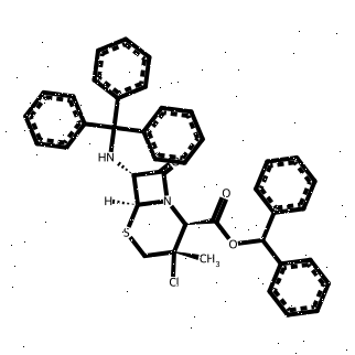 C[C@@]1(Cl)CS[C@H]2[C@H](NC(c3ccccc3)(c3ccccc3)c3ccccc3)C(=O)N2[C@H]1C(=O)OC(c1ccccc1)c1ccccc1